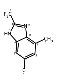 Cc1cc(Cl)cc2[nH]c(C(F)(F)F)nc12